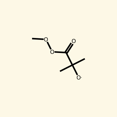 COOC(=O)C(C)(C)[O]